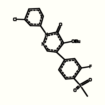 CC(C)COc1c(-c2ccc(S(C)(=O)=O)c(F)c2)cnn(-c2cccc(Cl)c2)c1=O